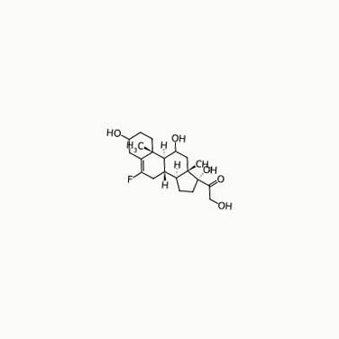 C[C@]12CCC(O)CC1=C(F)C[C@@H]1[C@@H]2C(O)C[C@@]2(C)[C@H]1CC[C@]2(O)C(=O)CO